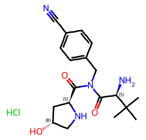 CC(C)(C)[C@H](N)C(=O)N(Cc1ccc(C#N)cc1)C(=O)[C@@H]1C[C@@H](O)CN1.Cl